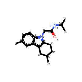 Cc1ccc2c(c1)c1c(n2CC(=O)NC(C)C)CCC(C)C1